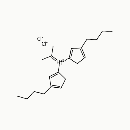 CCCCC1=CC[C]([Hf+2]([C]2=CC(CCCC)=CC2)=[C](C)C)=C1.[Cl-].[Cl-]